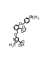 COc1ccc(COc2cccc(COc3cc(C(=O)O)n(C)n3)c2C2OCCO2)cc1